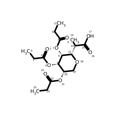 CCC(=O)O[C@@H]1[C@H](OC(=O)CC)[C@H](C(C)C(=O)O)OC[C@@H]1OC(=O)CC